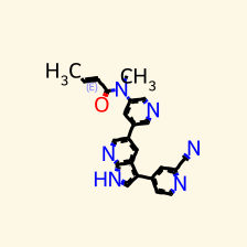 C/C=C/C(=O)N(C)c1cncc(-c2cnc3[nH]cc(-c4ccnc(C#N)c4)c3c2)c1